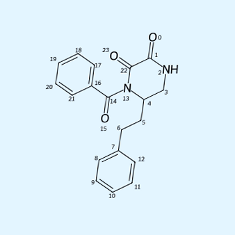 O=C1NCC(CCc2ccccc2)N(C(=O)c2ccccc2)C1=O